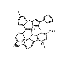 CC1=[C]([Zr+2](=[C](c2ccc(C)cc2)c2ccc(C)cc2)[CH]2c3cc(C(C)(C)C)ccc3-c3ccc(C(C)(C)C)cc32)C(C)C=C1c1ccccc1.[Cl-].[Cl-]